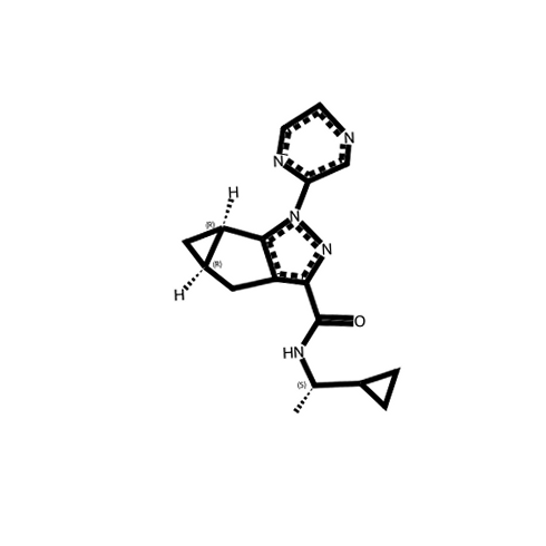 C[C@H](NC(=O)c1nn(-c2cnccn2)c2c1C[C@H]1C[C@@H]21)C1CC1